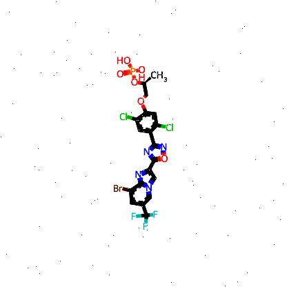 C[C@@H](COc1cc(Cl)c(-c2noc(-c3cn4cc(C(F)(F)F)cc(Br)c4n3)n2)cc1Cl)OP(=O)(O)O